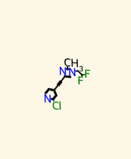 Cc1nc(C#Cc2ccnc(Cl)c2)cn1CC(F)F